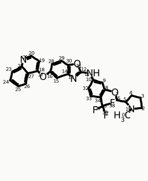 CN1CCCC1COc1cc(Nc2nc3cc(Oc4ccnc5ccccc45)ccc3o2)ccc1C(F)(F)F